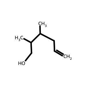 C=CCC(C)C(C)CO